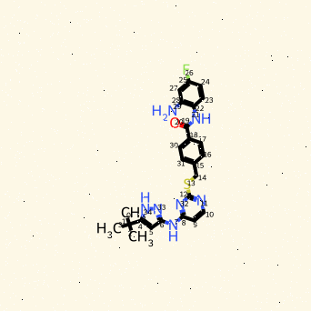 CC(C)(C)c1cc(Nc2ccnc(SCc3ccc(C(=O)Nc4ccc(F)cc4N)cc3)n2)n[nH]1